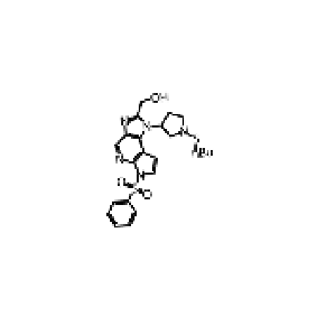 CCCCSN1CCC(n2c(CO)nc3cnc4c(ccn4S(=O)(=O)c4ccccc4)c32)C1